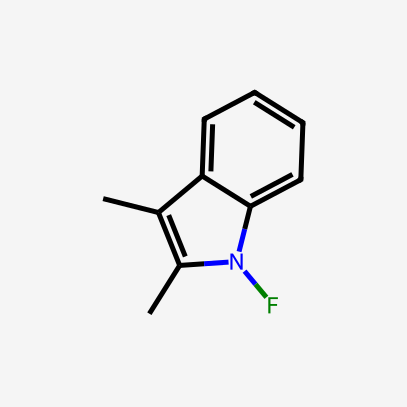 Cc1c(C)n(F)c2ccccc12